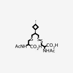 CC(=O)NC(CSCC(CSSCC(NC(C)=O)C(=O)O)[C@H]1C[C@H](C)C1)C(=O)O